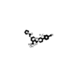 Cc1cc(C#N)ccc1C1CCN(C(=O)C2NC[C@@H](CC(=O)N3CCCC3)CC2C(=O)NO)CC1